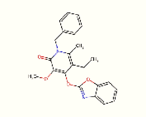 CCc1c(Oc2nc3ccccc3o2)c(OC)c(=O)n(Cc2ccccc2)c1C